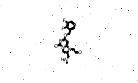 CNCC1Cn2c(cc(OCc3cccc(F)c3F)nc2=O)N1CC=O